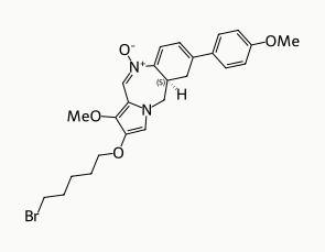 COc1ccc(C2=CC=C3[C@@H](C2)Cn2cc(OCCCCCBr)c(OC)c2C=[N+]3[O-])cc1